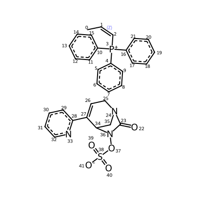 C/C=C\[P+](c1ccccc1)(c1ccccc1)c1ccccc1.O=C1N2CC=C(c3ccccn3)C(C2)N1OS(=O)(=O)[O-]